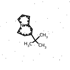 CC(C)(C)c1ccn2cccc2c1